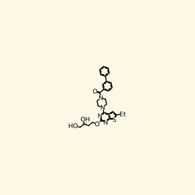 CCc1cc2c(N3CCN(C(=O)c4cccc(-c5ccccc5)c4)CC3)nc(OCC[C@H](O)CO)nc2s1